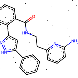 Nc1cccc(CCNC(=O)c2ccccc2-c2cc(-c3ccccc3)[nH]n2)n1